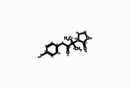 CC(C)(C(=O)Cc1ccc(F)cc1)N1CCOC1=O